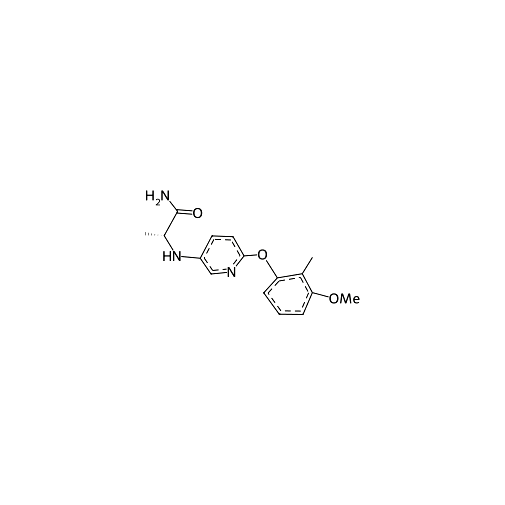 COc1cccc(Oc2ccc(N[C@H](C)C(N)=O)cn2)c1C